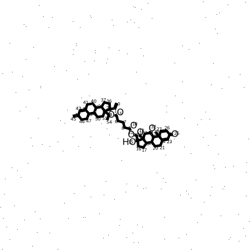 C=CC1(OC(=O)CCCC(=O)OC(=O)C2(O)CCC3C4CCC5=CC(=O)C=CC5(C)C4C(=O)CC32C)CCC2C3CCC4=CC(=C)CCC4C3CCC21CC